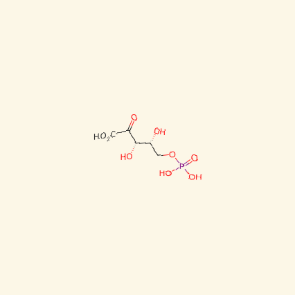 O=C(O)C(=O)[C@@H](O)[C@H](O)COP(=O)(O)O